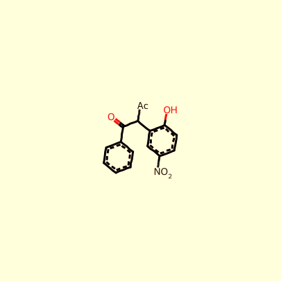 CC(=O)C(C(=O)c1ccccc1)c1cc([N+](=O)[O-])ccc1O